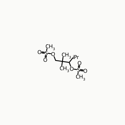 CC(C)C(OS(C)(=O)=O)C(C)(C)COS(C)(=O)=O